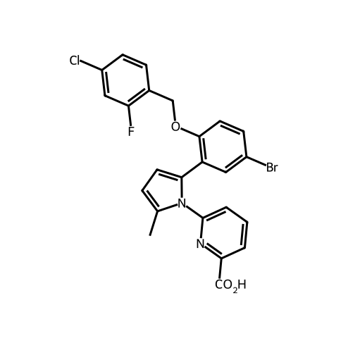 Cc1ccc(-c2cc(Br)ccc2OCc2ccc(Cl)cc2F)n1-c1cccc(C(=O)O)n1